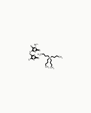 CCCC[N+](CCCC)(CCCC)CCCC.S=c1sc([S-])c([S-])s1.S=c1sc([S-])c([S-])s1.[Ni+3]